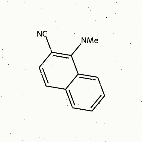 CNc1c(C#N)ccc2ccccc12